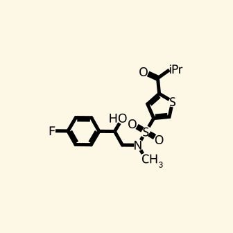 CC(C)C(=O)c1cc(S(=O)(=O)N(C)CC(O)c2ccc(F)cc2)cs1